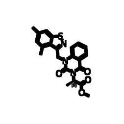 COC(=O)[C@@H](C)n1c(=O)c2ccccc2n(Cc2nsc3cc(C)cc(C)c23)c1=O